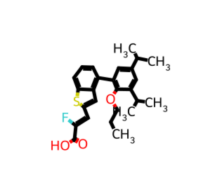 CCCOc1c(-c2cccc3sc(/C=C(\F)C(=O)O)cc23)cc(C(C)C)cc1C(C)C